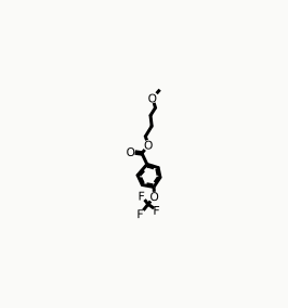 COCCCCOC(=O)c1ccc(OC(F)(F)F)cc1